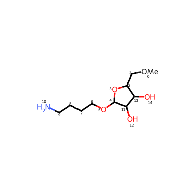 COCC1OC(OCCCCN)C(O)C1O